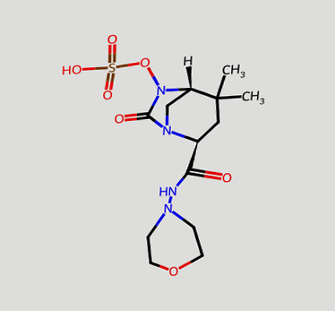 CC1(C)C[C@@H](C(=O)NN2CCOCC2)N2C[C@@H]1N(OS(=O)(=O)O)C2=O